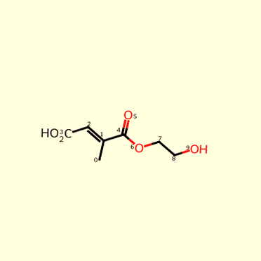 C/C(=C\C(=O)O)C(=O)OCCO